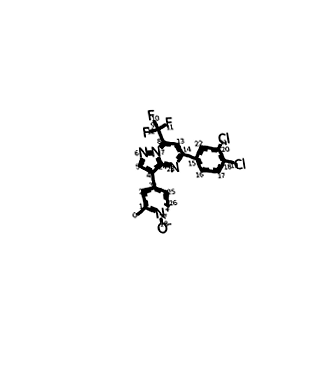 Cc1cc(-c2cnn3c(C(F)(F)F)cc(-c4ccc(Cl)c(Cl)c4)nc23)cc[n+]1[O-]